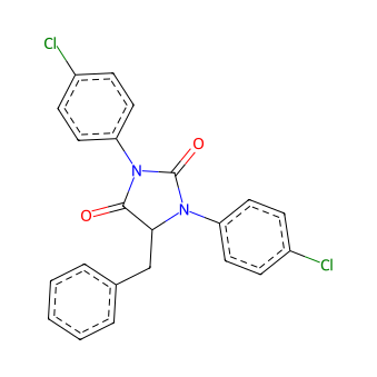 O=C1C(Cc2ccccc2)N(c2ccc(Cl)cc2)C(=O)N1c1ccc(Cl)cc1